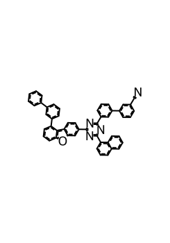 N#Cc1cccc(-c2cccc(-c3nc(-c4ccc5c(c4)oc4cccc(-c6cccc(-c7ccccc7)c6)c45)nc(-c4cccc5ccccc45)n3)c2)c1